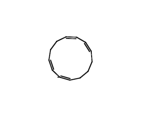 [C]1=CCCCC=CC=CCCC=C1